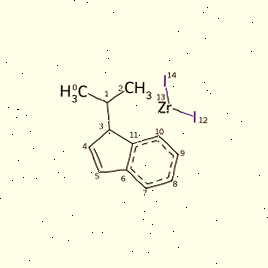 CC(C)[C]1C=Cc2ccccc21.[I][Zr][I]